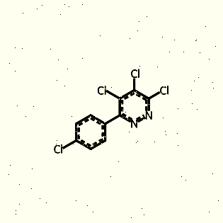 Clc1ccc(-c2nnc(Cl)c(Cl)c2Cl)cc1